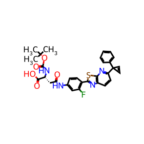 CC(C)(C)OC(=O)N[C@H](CC(=O)Nc1ccc(-c2nc3ccc(C4(c5ccccc5)C=C4)nc3s2)c(F)c1)C(=O)O